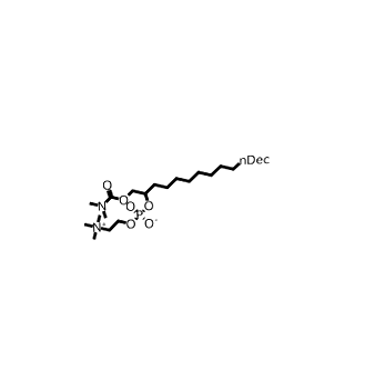 CCCCCCCCCCCCCCCCCCC(COC(=O)N(C)C)OP(=O)([O-])OCC[N+](C)(C)C